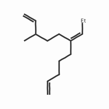 C=CCCCC(=CCC)CCC(C)C=C